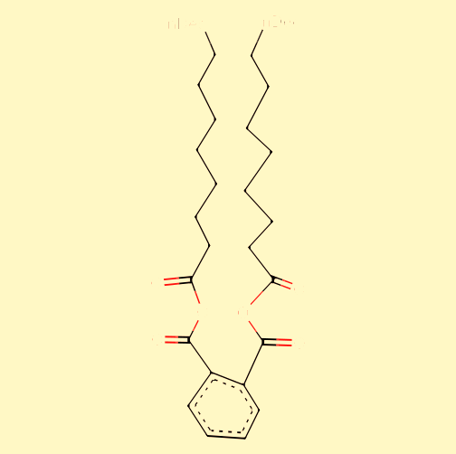 CCCCCCCCCCCCCCCCCC(=O)OC(=O)c1ccccc1C(=O)OC(=O)CCCCCCCCCCCCCCCCC